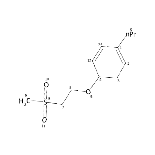 CCCC1=CCC(OCCS(C)(=O)=O)C=C1